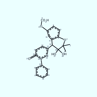 CC1(C)Oc2ccc(OC(=O)O)cc2C(c2ccc(=O)n(-c3ccccc3)n2)C1(O)O